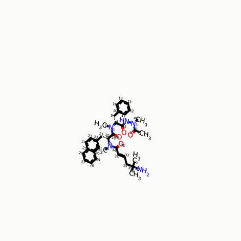 CC(=O)N(C)NC(=O)[C@@H](Cc1ccccc1)N(C)C(=O)[C@@H](Cc1ccc2ccccc2c1)N(C)C(=O)C=CCC(C)(C)N